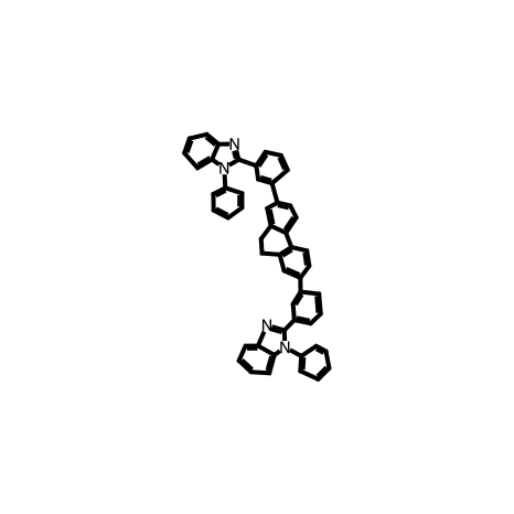 c1ccc(-n2c(-c3cccc(-c4ccc5c(c4)CCc4cc(-c6cccc(-c7nc8ccccc8n7-c7ccccc7)c6)ccc4-5)c3)nc3ccccc32)cc1